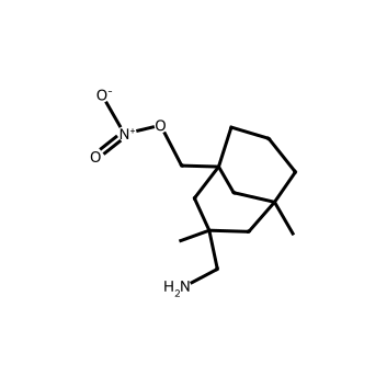 CC1(CN)CC2(C)CCCC(CO[N+](=O)[O-])(C1)C2